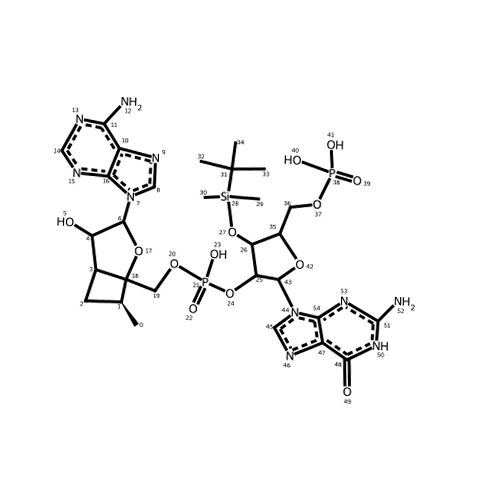 C[C@H]1CC2C(O)C(n3cnc4c(N)ncnc43)OC21COP(=O)(O)OC1C(O[Si](C)(C)C(C)(C)C)C(COP(=O)(O)O)OC1n1cnc2c(=O)[nH]c(N)nc21